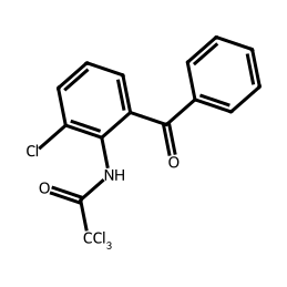 O=C(c1ccccc1)c1cccc(Cl)c1NC(=O)C(Cl)(Cl)Cl